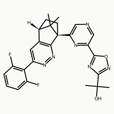 CC(C)(O)c1noc(-c2cncc([C@@]34CC[C@@H](c5cc(-c6c(F)cccc6F)nnc53)C4(C)C)n2)n1